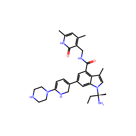 CC[C@@](C)(N)n1cc(C)c2c(C(=O)NCc3c(C)cc(C)[nH]c3=O)cc(C3=CC=C(N4CCNCC4)NC3)cc21